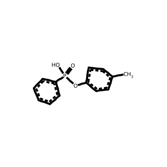 Cc1ccc(OP(=O)(O)c2ccccc2)cc1